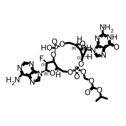 CC(C)OC(=O)OCOP1(=O)OC[C@H]2O[C@@H](n3cnc4c(N)ncnc43)[C@@H](F)C2OP(=O)(O)OC[C@H]2O[C@@H](n3cnc4c(=O)[nH]c(N)nc43)[C@@H](O1)C2O